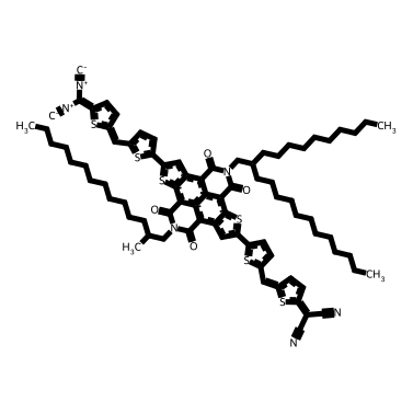 [C-]#[N+]C([N+]#[C-])=c1cc/c(=C\c2ccc(-c3cc4c5c6c(c7sc(-c8ccc(/C=c9\ccc(=C(C#N)C#N)s9)s8)cc7c7c6c(c4s3)C(=O)N(CC(C)CCCCCCCCCCCC)C7=O)C(=O)N(CC(CCCCCCCCCC)CCCCCCCCCCCC)C5=O)s2)s1